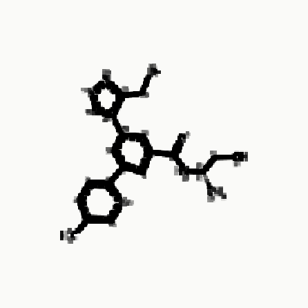 Cc1ccc(-c2cc(C(=O)N[C@@H](C)CO)cc(-n3nnnc3CC(C)C)c2)nc1